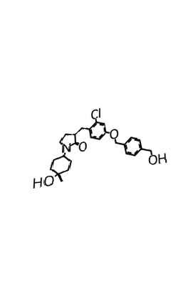 CC1(O)CCC(N2CCC(Cc3ccc(OCc4ccc(CO)cc4)cc3Cl)C2=O)CC1